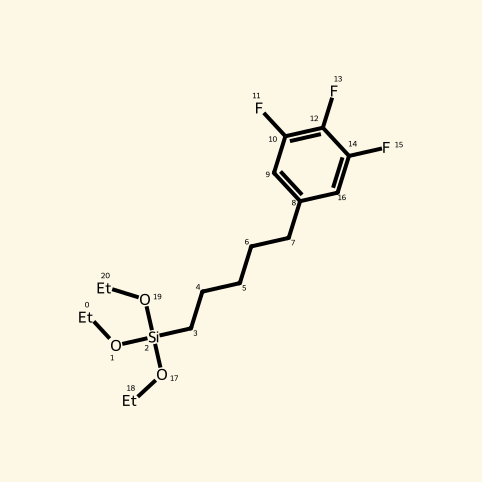 CCO[Si](CCCCCc1cc(F)c(F)c(F)c1)(OCC)OCC